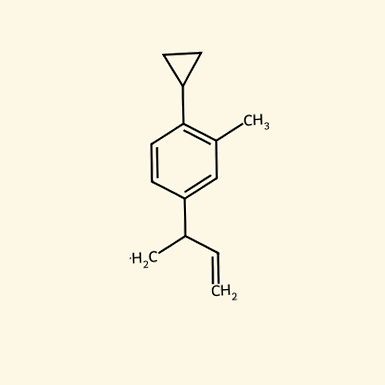 [CH2]C(C=C)c1ccc(C2CC2)c(C)c1